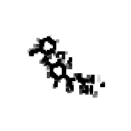 Cc1cc(Sc2ccccc2Br)c(C(F)(F)F)cc1C(=O)N=C(N)N